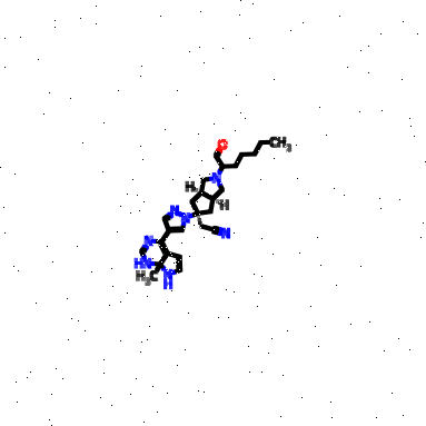 CCCCCC(C=O)N1C[C@@H]2C[C@](CC#N)(n3cc(C4=C5C=CNC5(C)NC=N4)cn3)C[C@@H]2C1